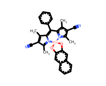 CC1=C(C#N)C(C)=[N+]2C1=C(c1ccccc1)c1c(C)c(C#N)c(C)n1[B-]21Oc2cc3ccccc3cc2O1